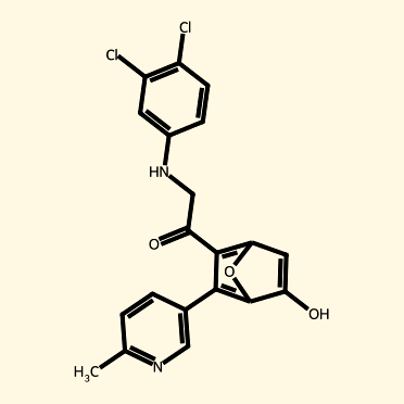 Cc1ccc(-c2c(C(=O)CNc3ccc(Cl)c(Cl)c3)c3cc(O)c2o3)cn1